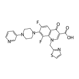 O=C(O)c1cn(Cc2nccs2)c2c(F)c(N3CCN(c4cccnc4)CC3)c(F)cc2c1=O